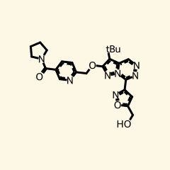 CC(C)(C)c1c(OCc2ccc(C(=O)N3CCCC3)cn2)nn2c(-c3cc(CO)on3)nncc12